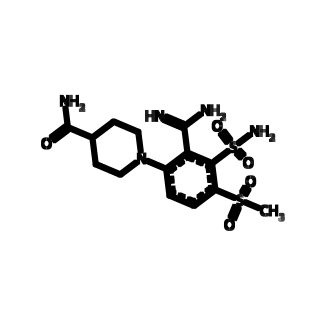 CS(=O)(=O)c1ccc(N2CCC(C(N)=O)CC2)c(C(=N)N)c1S(N)(=O)=O